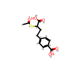 CC(=O)SC(CCc1ccc(C(=O)O)cc1)C(=O)O